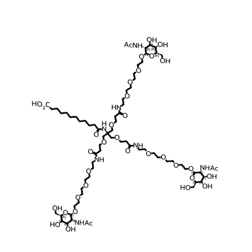 CC(=O)N[C@H]1[C@H](OCCOCCOCCOCCNC(=O)CCOCC(COCCC(=O)NCCOCCOCCOCCO[C@@H]2O[C@H](CO)[C@H](O)[C@H](O)[C@H]2NC(C)=O)(COCCC(=O)NCCOCCOCCOCCO[C@@H]2O[C@H](CO)[C@H](O)[C@H](O)[C@H]2NC(C)=O)NC(=O)CCCCCCCCCCC(=O)O)O[C@H](CO)[C@H](O)[C@@H]1O